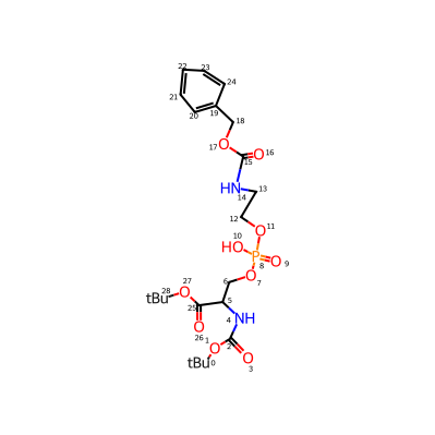 CC(C)(C)OC(=O)NC(COP(=O)(O)OCCNC(=O)OCc1ccccc1)C(=O)OC(C)(C)C